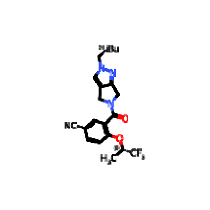 CC[C@H](C)Cn1cc2c(n1)CN(C(=O)c1cc(C#N)ccc1O[C@@H](C)C(F)(F)F)C2